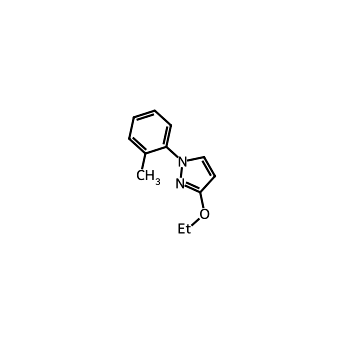 CCOc1ccn(-c2ccccc2C)n1